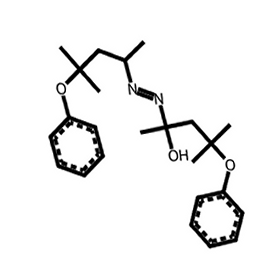 CC(CC(C)(C)Oc1ccccc1)N=NC(C)(O)CC(C)(C)Oc1ccccc1